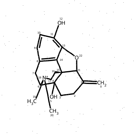 C=C1CCC2(O)C3Cc4ccc(O)c5c4[C@]2(CC[N+]3(C)C)C1O5